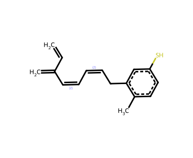 C=CC(=C)/C=C\C=C/Cc1cc(S)ccc1C